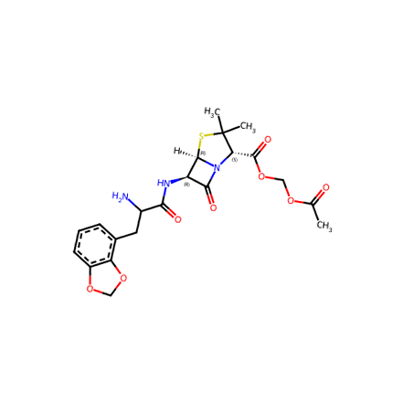 CC(=O)OCOC(=O)[C@@H]1N2C(=O)[C@@H](NC(=O)C(N)Cc3cccc4c3OCO4)[C@H]2SC1(C)C